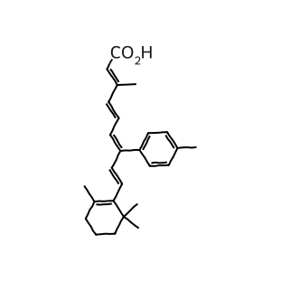 CC1=C(/C=C/C(=C/C=C/C(C)=C/C(=O)O)c2ccc(C)cc2)C(C)(C)CCC1